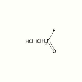 Cl.Cl.O=[PH2]F